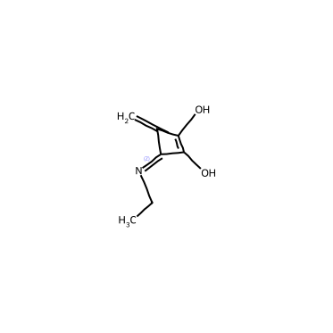 C=C1C(O)=C(O)/C1=N\CC